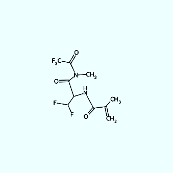 C=C(C)C(=O)NC(C(=O)N(C)C(=O)C(F)(F)F)C(F)F